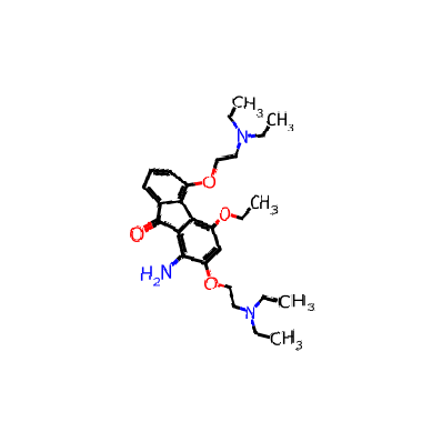 CCOc1cc(OCCN(CC)CC)c(N)c2c1-c1c(OCCN(CC)CC)cccc1C2=O